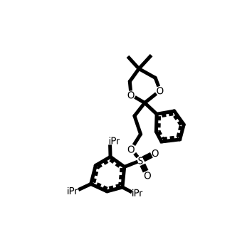 CC(C)c1cc(C(C)C)c(S(=O)(=O)OCCC2(c3ccccc3)OCC(C)(C)CO2)c(C(C)C)c1